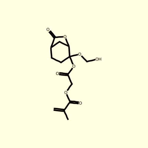 C=C(C)C(=O)OCC(=O)OC1(OCO)CCC2CC1OC2=O